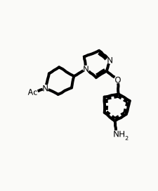 CC(=O)N1CCC(N2C=C(Oc3ccc(N)cc3)N=CC2)CC1